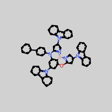 c1ccc(-c2ccc(N3c4cc(-n5c6ccccc6c6ccccc65)cc5c4B(n4cc(-n6c7ccccc7c7ccccc76)cc4O5)n4cc(-n5c6ccccc6c6ccccc65)cc43)cc2)cc1